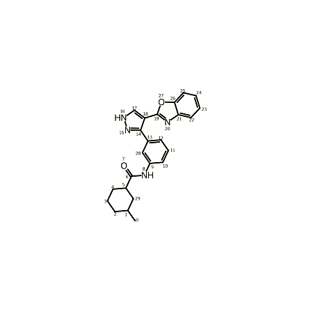 CC1CCCC(C(=O)Nc2cccc(-c3n[nH]cc3-c3nc4ccccc4o3)c2)C1